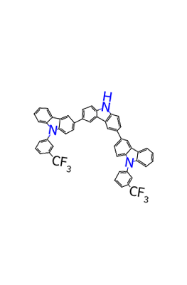 FC(F)(F)c1cccc(-n2c3ccccc3c3cc(-c4ccc5[nH]c6ccc(-c7ccc8c(c7)c7ccccc7n8-c7cccc(C(F)(F)F)c7)cc6c5c4)ccc32)c1